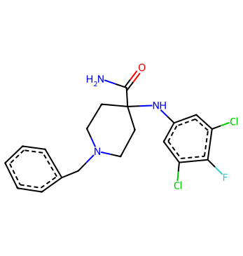 NC(=O)C1(Nc2cc(Cl)c(F)c(Cl)c2)CCN(Cc2ccccc2)CC1